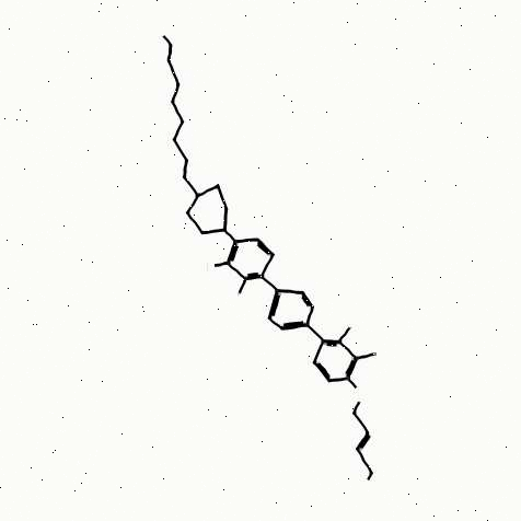 CC/C=C/COc1ccc(-c2ccc(-c3ccc(C4CCC(CCCCCCCCC)CC4)c(F)c3F)cc2)c(F)c1F